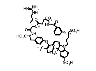 CC1=C(Oc2ccc(C[C@H](NC(=O)[C@H](CCCNC(=N)N)NC(=O)CC[C@@H](NC(=O)c3cccc(N)c3)C(=O)O)C(=O)O)cc2)/C(=C/C=C2/N(CCCCS(=O)(=O)O)c3ccc(S(=O)(=O)O)cc3C2(C)C)CCC1